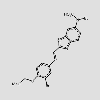 CCN(C(=O)O)c1ccc2nc(/C=C/c3ccc(OCOC)c(Br)c3)sc2c1